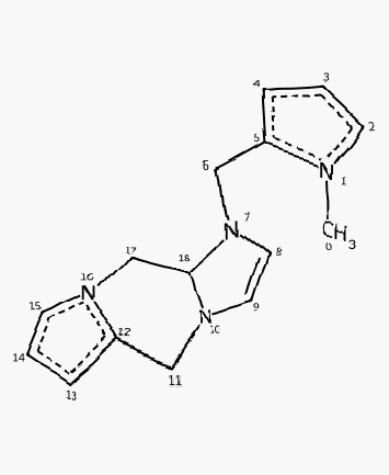 Cn1cccc1CN1C=CN2Cc3cccn3CC12